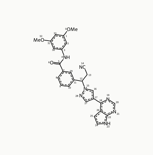 COc1cc(NC(=O)c2cccc(C(CC#N)n3cc(-c4ncnc5[nH]ccc45)cn3)c2)cc(OC)c1